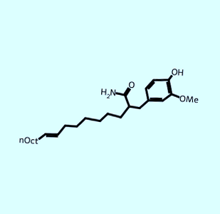 CCCCCCCCC=CCCCCCCC(Cc1ccc(O)c(OC)c1)C(N)=O